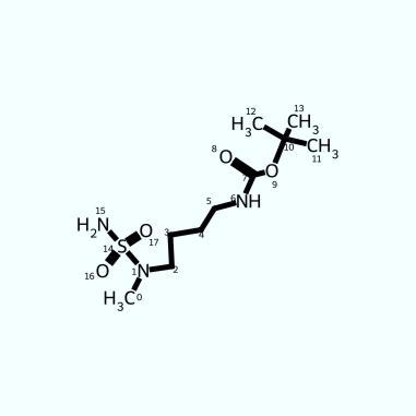 CN(CCCCNC(=O)OC(C)(C)C)S(N)(=O)=O